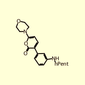 CCCCCNc1cccc(-c2ccc(N3CCOCC3)oc2=O)c1